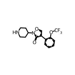 O=c1c(-c2ccccc2OC(F)(F)F)con1C1CCNCC1